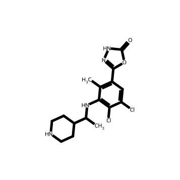 Cc1c(-c2n[nH]c(=O)o2)cc(Cl)c(Cl)c1NC(C)C1CCNCC1